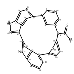 CCC(=O)n1c2cncc(c2)c2cc3c(cn2)[nH]nc3c2nc3c(ccnc3c3ccc1s3)[nH]2